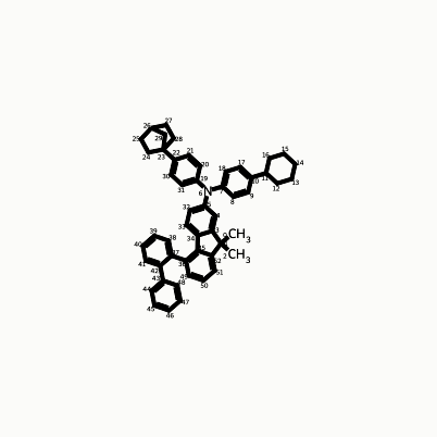 CC1(C)c2cc(N(c3ccc(C4CCCCC4)cc3)c3ccc(C45CCC(CC4)C5)cc3)ccc2-c2c(-c3ccccc3-c3ccccc3)cccc21